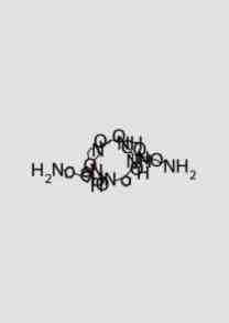 NCCOCCNC(=O)[C@@H]1CCNC(=O)/C=C/C(=O)N2CCC[C@](Cc3ccccc3)(C2)C(=O)N[C@@H](Cc2ccc(-c3ccc(N)cc3)cc2)C(=O)NCc2ccccc2CC(=O)N1